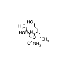 CCC(O)CCCC(N)=O.CCCC(CCCO)C(N)=O